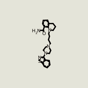 NC(=O)c1cccc2c1N(CCCCN1CCN(c3nsc4ccccc34)CC1)CCC2